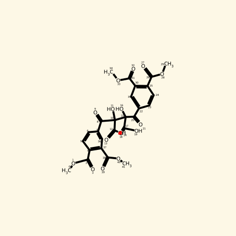 COC(=O)c1ccc(C(=O)C(O)(C(=O)O)C(O)(C(=O)O)C(=O)c2ccc(C(=O)OC)c(C(=O)OC)c2)cc1C(=O)OC